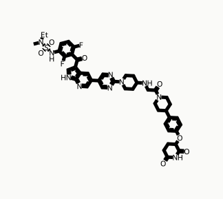 CCN(C)S(=O)(=O)Nc1ccc(F)c(C(=O)c2c[nH]c3ncc(-c4cnc(N5CCC(NCC(=O)N6CCC(c7ccc(OC8CCC(=O)NC8=O)cc7)CC6)CC5)nc4)cc23)c1F